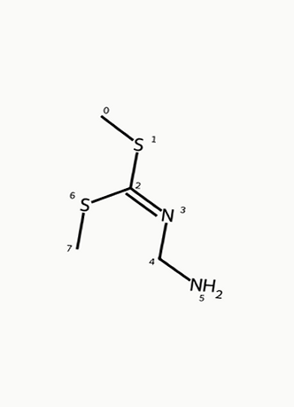 CSC(=NCN)SC